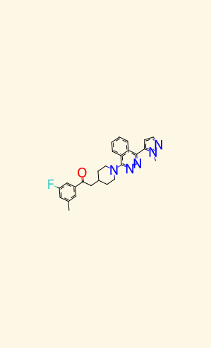 Cc1cc(F)cc(C(=O)CC2CCN(c3nnc(-c4ccnn4C)c4ccccc34)CC2)c1